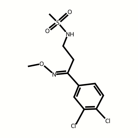 CON=C(CCNS(C)(=O)=O)c1ccc(Cl)c(Cl)c1